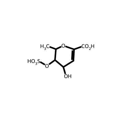 CC1OC(C(=O)O)=CC(O)C1OS(=O)(=O)O